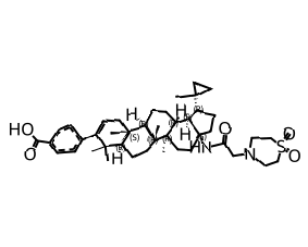 CC1([C@@H]2CC[C@]3(NC(=O)CN4CCS(=O)(=O)CC4)CC[C@]4(C)[C@H](CC[C@@H]5[C@@]6(C)CC=C(c7ccc(C(=O)O)cc7)C(C)(C)[C@@H]6CC[C@]54C)[C@@H]23)CC1